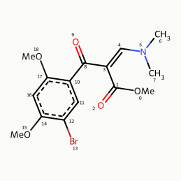 COC(=O)/C(=C\N(C)C)C(=O)c1cc(Br)c(OC)cc1OC